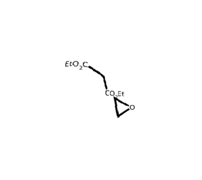 C1CO1.CCOC(=O)CC(=O)OCC